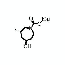 C[C@H]1CC(O)CCN(C(=O)OC(C)(C)C)C1